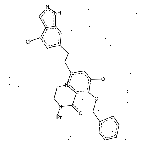 CC(C)N1CCn2c(CCc3cc4[nH]ncc4c(Cl)n3)cc(=O)c(OCc3ccccc3)c2C1=O